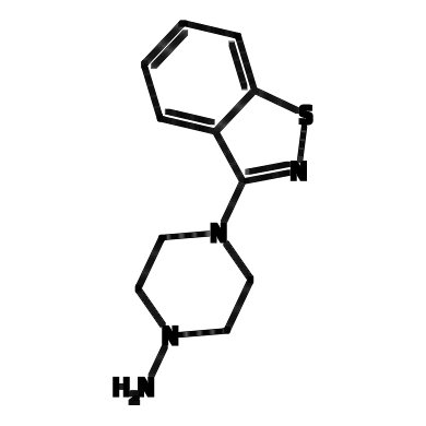 NN1CCN(c2nsc3ccccc23)CC1